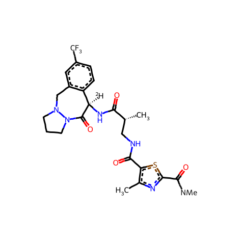 [2H][C@]1(NC(=O)[C@H](C)CNC(=O)c2sc(C(=O)NC)nc2C)C(=O)N2CCCN2Cc2cc(C(F)(F)F)ccc21